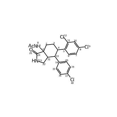 CC(=O)NC12CCC(c3ccc(Cl)cc3Cl)C(c3ccc(Cl)cc3)C1CNC2=O